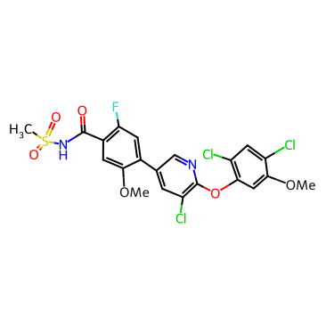 COc1cc(Oc2ncc(-c3cc(F)c(C(=O)NS(C)(=O)=O)cc3OC)cc2Cl)c(Cl)cc1Cl